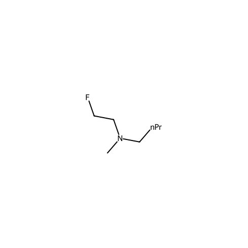 CCCCN(C)CCF